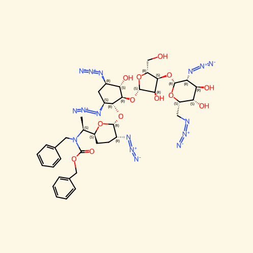 C[C@@H]([C@@H]1CC[C@@H](N=[N+]=[N-])[C@@H](O[C@H]2[C@H](O[C@@H]3O[C@H](CO)[C@@H](O[C@H]4O[C@@H](CN=[N+]=[N-])[C@@H](O)[C@H](O)[C@H]4N=[N+]=[N-])[C@H]3O)[C@@H](O)[C@H](N=[N+]=[N-])C[C@@H]2N=[N+]=[N-])O1)N(Cc1ccccc1)C(=O)OCc1ccccc1